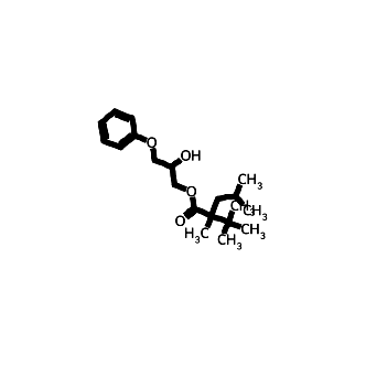 CC(C)CC(C)(C(=O)OCC(O)COc1ccccc1)C(C)(C)C